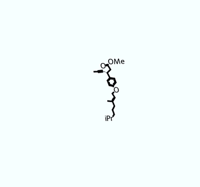 CC#C[C@H](CC(=O)OC)c1ccc(OC/C=C(\C)CCCC(C)C)cc1